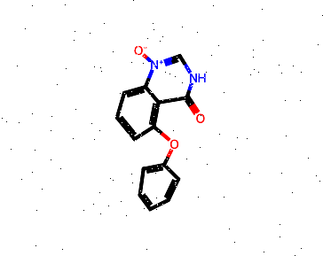 O=c1[nH]c[n+]([O-])c2cccc(Oc3ccccc3)c12